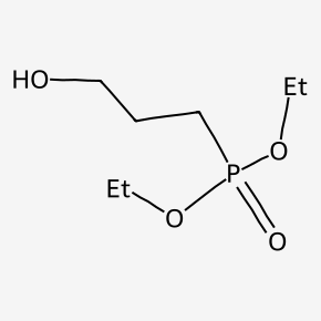 CCOP(=O)(CCCO)OCC